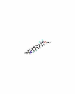 C=CCOc1ccc(-c2ccc(-c3ccc(-c4ccc(C=C)cn4)c(F)c3F)cc2)c(F)c1F